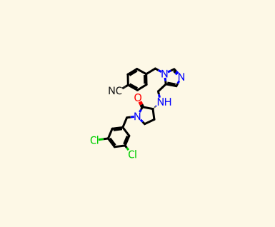 N#Cc1ccc(Cn2cncc2CN[C@@H]2CCN(Cc3cc(Cl)cc(Cl)c3)C2=O)cc1